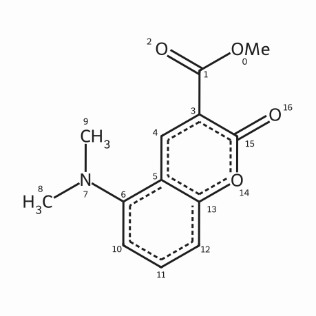 COC(=O)c1cc2c(N(C)C)cccc2oc1=O